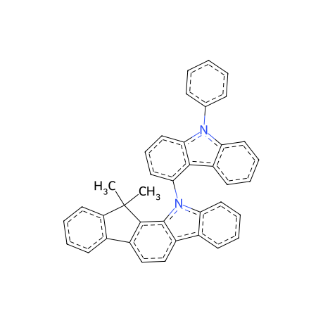 CC1(C)c2ccccc2-c2ccc3c4ccccc4n(-c4cccc5c4c4ccccc4n5-c4ccccc4)c3c21